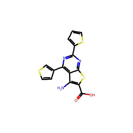 Nc1c(C(=O)O)sc2nc(-c3cccs3)nc(-c3ccsc3)c12